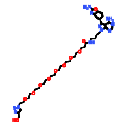 Nc1nc2cc(-c3nn(CCCCNC(=O)CCOCCOCCOCCOCCOCCOCCOCCOCCn4cc(CO)nn4)c4ncnc(N)c34)ccc2o1